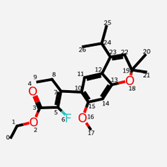 CCOC(=O)C(F)=C(CC)c1cc2c(cc1OC)OC(C)(C)C=C2C(C)C